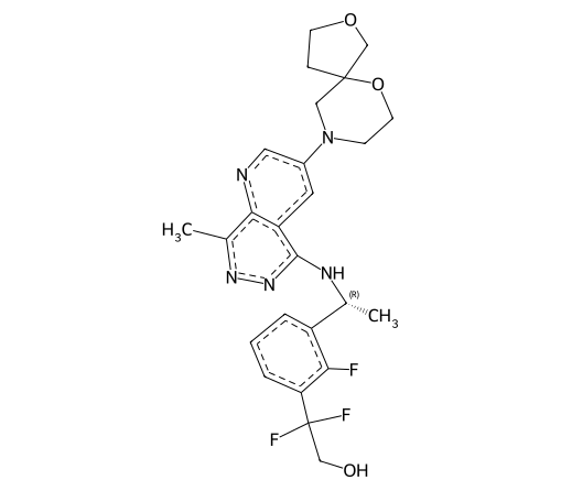 Cc1nnc(N[C@H](C)c2cccc(C(F)(F)CO)c2F)c2cc(N3CCOC4(CCOC4)C3)cnc12